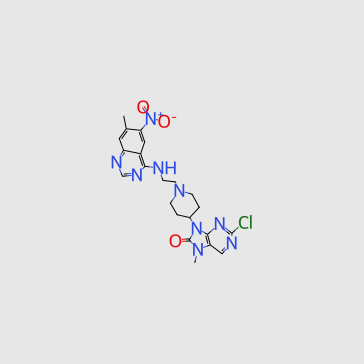 Cc1cc2ncnc(NCCN3CCC(n4c(=O)n(C)c5cnc(Cl)nc54)CC3)c2cc1[N+](=O)[O-]